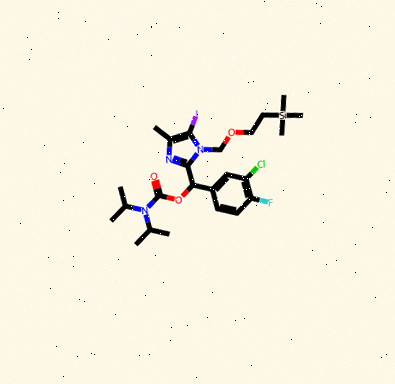 Cc1nc(C(OC(=O)N(C(C)C)C(C)C)c2ccc(F)c(Cl)c2)n(COCC[Si](C)(C)C)c1I